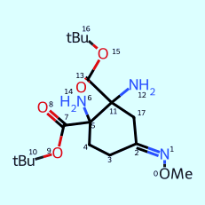 CON=C1CCC(N)(C(=O)OC(C)(C)C)C(N)(C(=O)OC(C)(C)C)C1